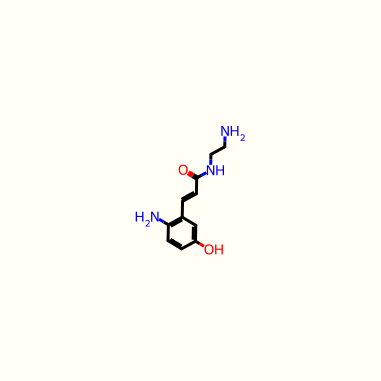 NCCNC(=O)/C=C/c1cc(O)ccc1N